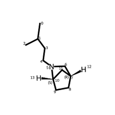 CC(C)CCN1C[C@@H]2CC[C@H]1C2